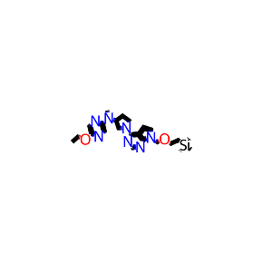 CCOc1cnc(N(C)C2CCN(c3ncnc4c3ccn4COCC[Si](C)(C)C)C2)cn1